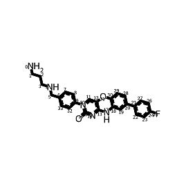 NCCCNCc1ccc(-n2cc3c(nc2=O)Nc2cc(-c4ccc(F)cc4)ccc2O3)cc1